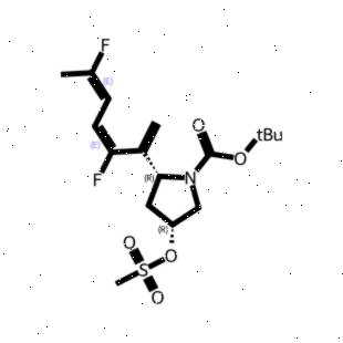 C=C(/C(F)=C\C=C(/C)F)[C@H]1C[C@@H](OS(C)(=O)=O)CN1C(=O)OC(C)(C)C